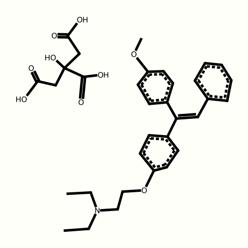 CCN(CC)CCOc1ccc(/C(=C/c2ccccc2)c2ccc(OC)cc2)cc1.O=C(O)CC(O)(CC(=O)O)C(=O)O